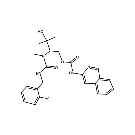 CN(C(=O)NCc1ccccc1Cl)[C@H](COC(=O)Nc1cc2ccccc2cn1)C(C)(C)O